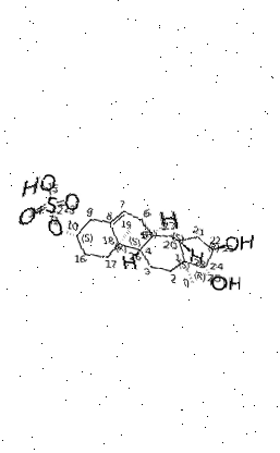 C[C@]12CC[C@H]3[C@@H](CC=C4C[C@@H](OS(=O)(=O)O)CC[C@@]43C)[C@@H]1C[C@@H](O)[C@@H]2O